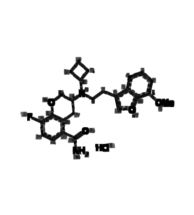 COc1cccc2c(CCN(C3CCC3)C3COc4c(F)ccc(C(N)=O)c4C3)coc12.Cl